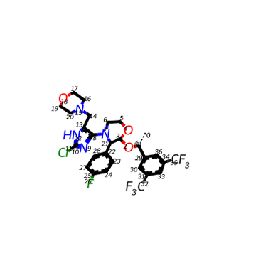 C[C@@H](OC1OCCN(c2nc(Cl)[nH]c2CN2CCOCC2)C1c1ccc(F)cc1)c1cc(C(F)(F)F)cc(C(F)(F)F)c1